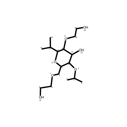 CC(C)OC1C(COCCO)OC(C(C)C)C(OCCO)C1O